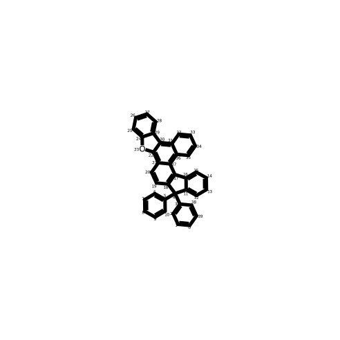 c1ccc(C2(c3ccccc3)c3ccccc3-c3c2ccc2c4oc5ccccc5c4c4ccccc4c32)cc1